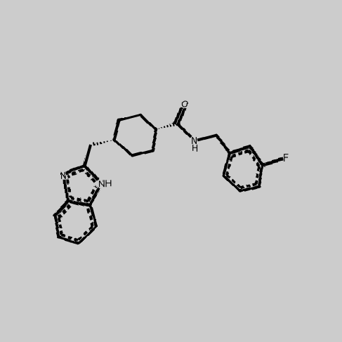 O=C(NCc1cccc(F)c1)[C@H]1CC[C@@H](Cc2nc3ccccc3[nH]2)CC1